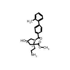 COC(=O)[C@]1(CCN)C[C@@H](O)CN1C(=O)c1ccc(-c2ccccc2C)cc1